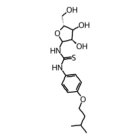 CC(C)CCOc1ccc(NC(=S)NC2O[C@H](CO)C(O)[C@H]2O)cc1